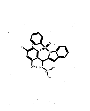 COc1cc(F)c(F)cc1C(N[S@@+]([O-])C(C)(C)C)c1cc2ccccc2n1S(=O)(=O)c1ccccc1